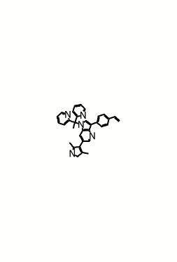 C=Cc1ccc(-c2cn(C(C)(c3ccccn3)c3ccccn3)c3cc(C4=C(C)CN=C4C)cnc23)cc1